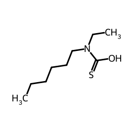 CCCCCCN(CC)C(O)=S